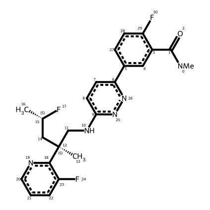 CNC(=O)c1cc(-c2ccc(NC[C@](C)(C[C@H](C)F)c3ncccc3F)nn2)ccc1F